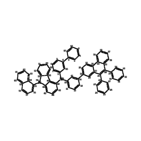 c1ccc(-c2cccc(N(c3cccc(-c4ccc5c(c4)c(-c4ccccc4)c(-c4ccccc4)c4ccccc45)c3)c3cccc4c3c3ccccc3n4-c3cccc4ccccc34)c2)cc1